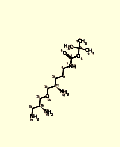 CC(C)(C)OC(=O)NCCC[C@H](N)COC[C@H](N)CN